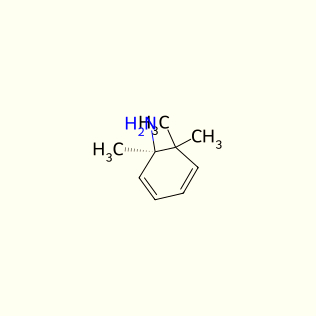 CC1(C)C=CC=C[C@@]1(C)N